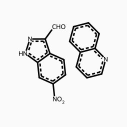 O=Cc1n[nH]c2cc([N+](=O)[O-])ccc12.c1ccc2ncccc2c1